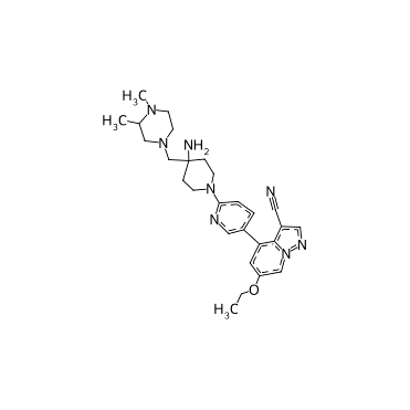 CCOc1cc(-c2ccc(N3CCC(N)(CN4CCN(C)C(C)C4)CC3)nc2)c2c(C#N)cnn2c1